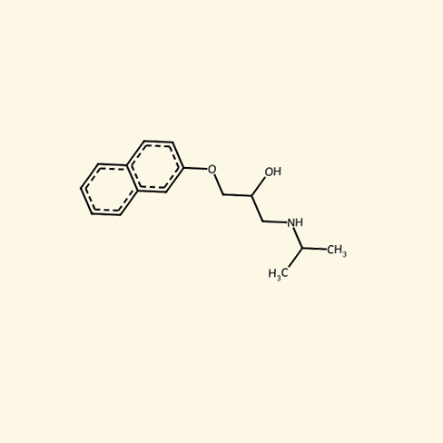 CC(C)NCC(O)COc1ccc2ccccc2c1